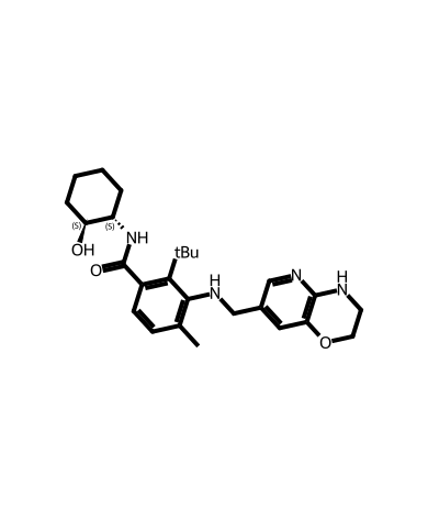 Cc1ccc(C(=O)N[C@H]2CCCC[C@@H]2O)c(C(C)(C)C)c1NCc1cnc2c(c1)OCCN2